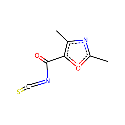 Cc1nc(C)c(C(=O)N=C=S)o1